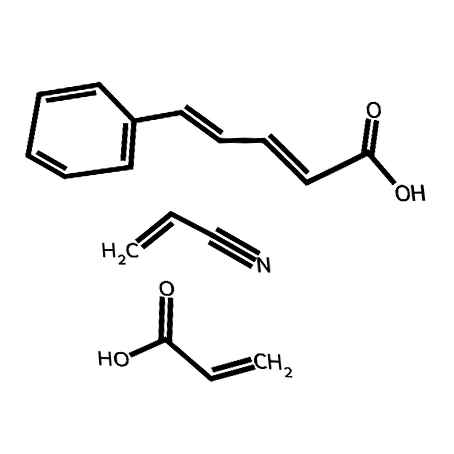 C=CC#N.C=CC(=O)O.O=C(O)C=CC=Cc1ccccc1